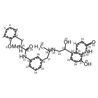 COc1ccccc1CNC(=O)Nc1cccc(CC(C)NCC(O)c2ccc(O)c3[nH]c(=O)ccc23)c1